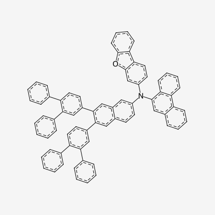 c1ccc(-c2ccc(-c3cc4ccc(N(c5ccc6c(c5)oc5ccccc56)c5cc6ccccc6c6ccccc56)cc4cc3-c3ccc(-c4ccccc4)c(-c4ccccc4)c3)cc2-c2ccccc2)cc1